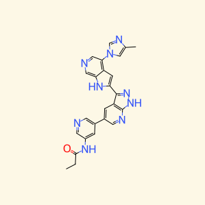 CCC(=O)Nc1cncc(-c2cnc3[nH]nc(-c4cc5c(-n6cnc(C)c6)cncc5[nH]4)c3c2)c1